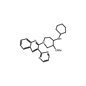 COC1CN(c2nc3ccccc3cc2-c2ncccn2)CCC1NC1CCCCC1